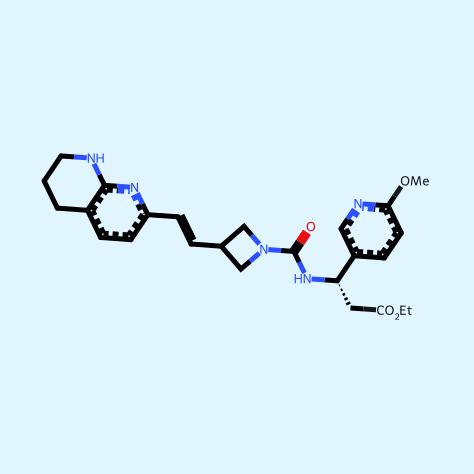 CCOC(=O)C[C@H](NC(=O)N1CC(C=Cc2ccc3c(n2)NCCC3)C1)c1ccc(OC)nc1